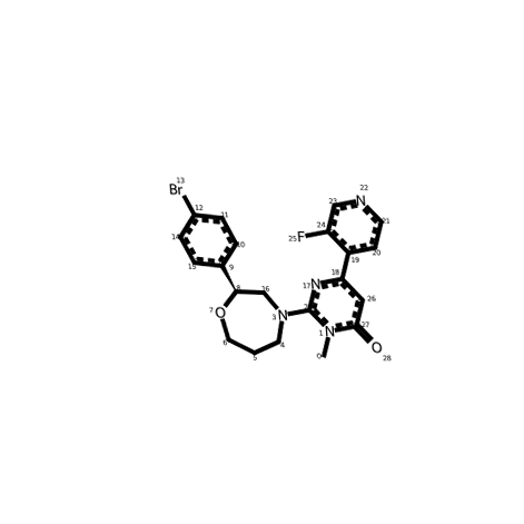 Cn1c(N2CCCO[C@@H](c3ccc(Br)cc3)C2)nc(-c2ccncc2F)cc1=O